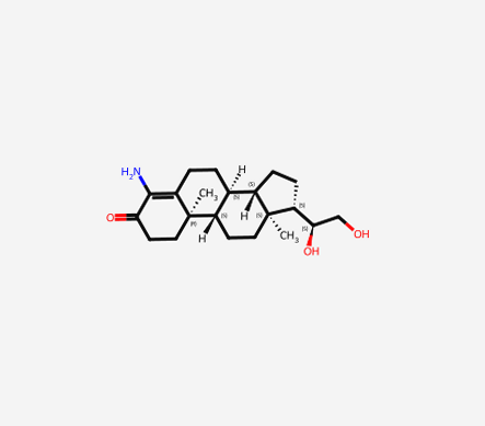 C[C@]12CC[C@H]3[C@@H](CCC4=C(N)C(=O)CC[C@@]43C)[C@@H]1CC[C@@H]2[C@H](O)CO